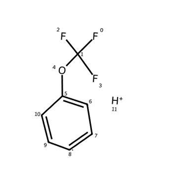 FC(F)(F)Oc1cc[c]cc1.[H+]